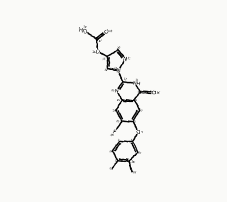 Cc1ccc(Oc2cc3c(=O)[nH]c(-n4cc(OC(=O)O)cn4)nc3cc2F)cc1C